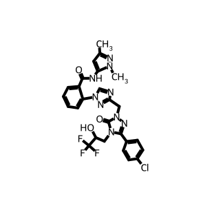 Cc1cc(NC(=O)c2ccccc2-n2cnc(Cn3nc(-c4ccc(Cl)cc4)n(CC(O)C(F)(F)F)c3=O)n2)n(C)n1